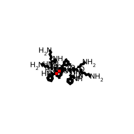 Cc1cc(C)cc(CC(CNC(=O)[C@@H](Cc2c[nH]c3ccccc23)NC(=O)[C@@H](CCCCN)NC(=O)[C@H](N)CCCCN)(Cc2cc(C)cc(C)c2)C(=O)N[C@@H](Cc2c[nH]c3ccccc23)C(=O)N[C@@H](CCCCN)C(=O)N[C@@H](CCCCN)C(N)=O)c1